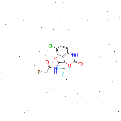 O=C(CBr)NC(=O)[C@]1(C(F)(F)F)OC(=O)Nc2ccc(Cl)cc21